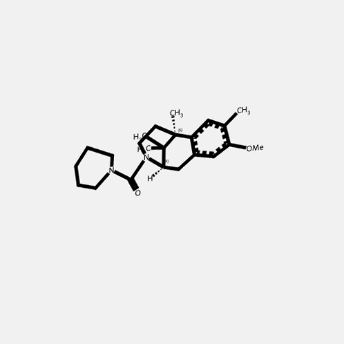 COc1cc2c(cc1C)[C@]1(C)CCN(C(=O)N3CCCCC3)[C@H](C2)C1(C)C